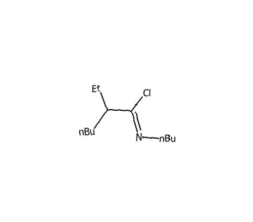 CCCCN=C(Cl)C(CC)CCCC